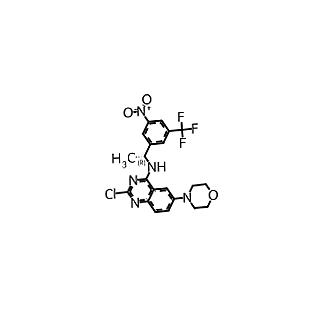 C[C@@H](Nc1nc(Cl)nc2ccc(N3CCOCC3)cc12)c1cc([N+](=O)[O-])cc(C(F)(F)F)c1